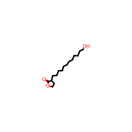 O=C1OCCC1CCCCCCCCCCCCO